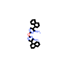 Nc1nc(Oc2ncc(-c3cccc4ccccc34)c(N)n2)ncc1-c1cccc2ccccc12